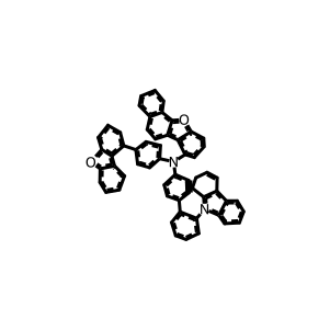 c1c(-c2ccccc2-n2c3c(c4ccccc42)C=CCC3)ccc(N(c2ccc(-c3cccc4oc5ccccc5c34)cc2)c2cccc3oc4c5ccccc5ccc4c23)c#1